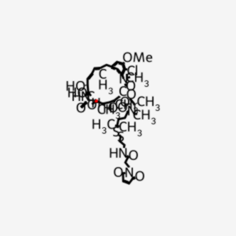 COc1cc2cc(c1Cl)N(C)C(=O)C[C@H](OC(=O)[C@H](C)N(C)C(=O)CCC(C)(C)SSCCNC(=O)CCN1C(=O)C=CC1=O)[C@]1(C)O[C@H]1[C@H](C)[C@@H]1C[C@@](O)(NC(=O)O1)[C@H](O)/C=C/C=C(\C)C2